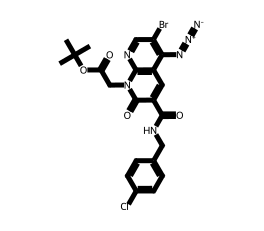 CC(C)(C)OC(=O)Cn1c(=O)c(C(=O)NCc2ccc(Cl)cc2)cc2c(N=[N+]=[N-])c(Br)cnc21